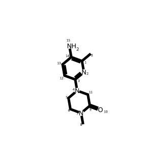 Cc1nc(N2CCN(C)C(=O)C2)ccc1N